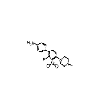 CN1CCN(c2ccc(-c3ccc(N)cc3)c(F)c2[N+](=O)[O-])CC1